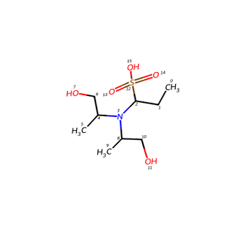 CCC(N(C(C)CO)C(C)CO)S(=O)(=O)O